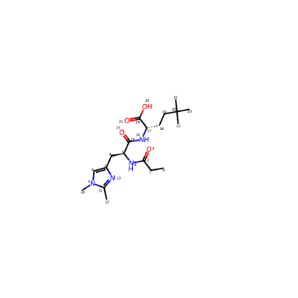 CCC(=O)N[C@@H](Cc1cn(C)c(C)n1)C(=O)N[C@@H](CCC(C)(C)C)C(=O)O